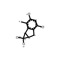 Clc1cc(Cl)c2c(c1I)C1C(C2)C1(Cl)Cl